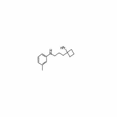 CCCC1(CCCNc2cccc(C)c2)CCC1